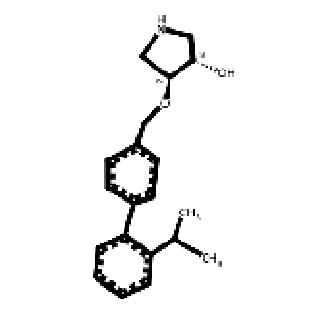 CC(C)c1ccccc1-c1ccc(CO[C@H]2CNC[C@@H]2O)cc1